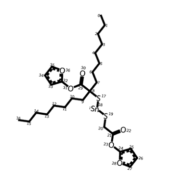 CCCCCCCCC(CCCCCCCC)([S][Sn][S]CC(=O)Oc1ccco1)C(=O)Oc1ccco1